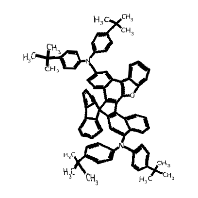 CC(C)(C)c1ccc(N(c2ccc(C(C)(C)C)cc2)c2ccc3c4c(c5oc6ccccc6c5c3c2)-c2c(cc(N(c3ccc(C(C)(C)C)cc3)c3ccc(C(C)(C)C)cc3)c3ccccc23)C42c3ccccc3-c3ccccc32)cc1